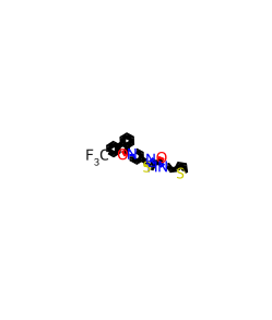 O=C(NCCc1cccs1)c1csc(C2CCN(C(=O)c3ccccc3-c3ccc(C(F)(F)F)cc3)CC2)n1